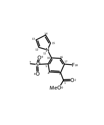 COC(=O)c1cc(S(C)(=O)=O)c(-n2cccc2)cc1F